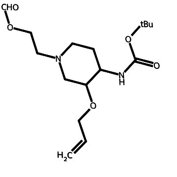 C=CCOC1CN(CCOC=O)CCC1NC(=O)OC(C)(C)C